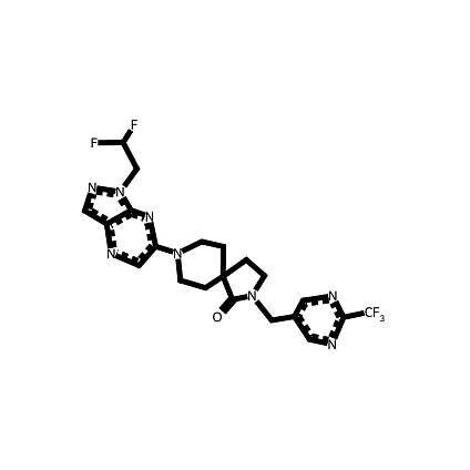 O=C1N(Cc2cnc(C(F)(F)F)nc2)CCC12CCN(c1cnc3cnn(CC(F)F)c3n1)CC2